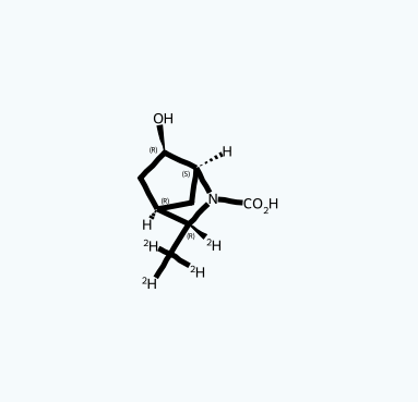 [2H]C([2H])([2H])[C@]1([2H])[C@H]2C[C@@H](O)[C@H](C2)N1C(=O)O